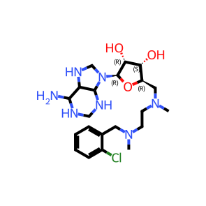 CN(CCN(C)C[C@H]1O[C@@H](N2CNC3C(N)NCNC32)[C@H](O)[C@@H]1O)Cc1ccccc1Cl